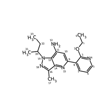 CCOc1ncccc1-c1cc(N)c2c(n1)c(C)nn2C(C)CC